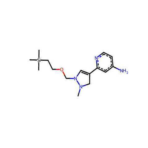 CN1CC(c2cc(N)ccn2)=CN1COCC[Si](C)(C)C